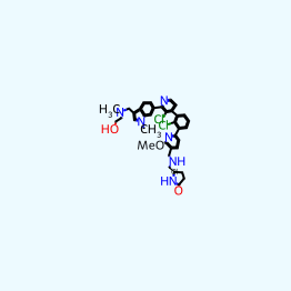 COc1nc(-c2cccc(-c3ccnc(-c4ccc5c(CN(C)CCO)cn(C)c5c4)c3Cl)c2Cl)ccc1CNC[C@H]1CCC(=O)N1